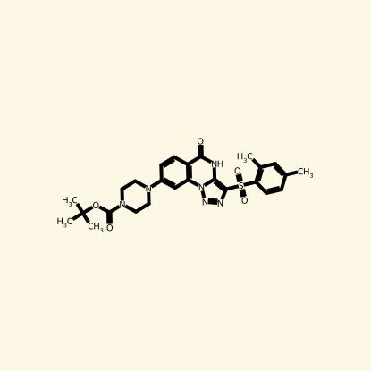 Cc1ccc(S(=O)(=O)c2nnn3c2[nH]c(=O)c2ccc(N4CCN(C(=O)OC(C)(C)C)CC4)cc23)c(C)c1